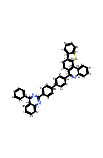 c1ccc(-c2nc(-c3ccc(-c4ccc(-c5nc6ccccc6c6c5ccc5c7ccccc7sc56)cc4)cc3)nc3ccccc23)cc1